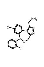 NCc1nnc2n1-c1ccc(Cl)cc1C(c1ccccc1Cl)OC2